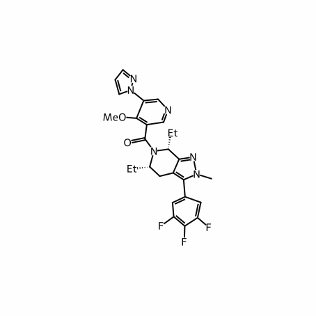 CC[C@H]1Cc2c(nn(C)c2-c2cc(F)c(F)c(F)c2)[C@@H](CC)N1C(=O)c1cncc(-n2cccn2)c1OC